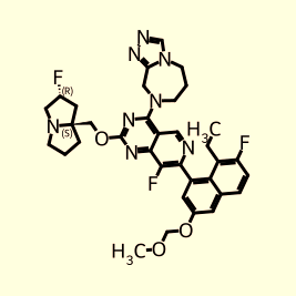 CCc1c(F)ccc2cc(OCOC)cc(-c3ncc4c(N5CCCn6cnnc6C5)nc(OC[C@@]56CCCN5C[C@H](F)C6)nc4c3F)c12